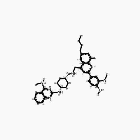 CCCCc1cc(C)c2nc(-c3ccc(OC)c(OC)c3)cc(CNC[C@H]3CC[C@@H](Nc4nc(N(C)C)c5ccccc5n4)CC3)c2c1